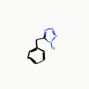 N#Cn1nnnc1Cc1ccccc1